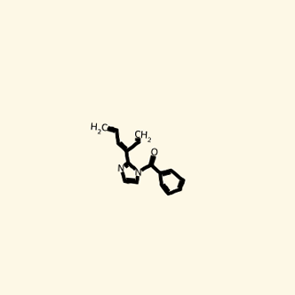 C=C/C=C(\C=C)c1nccn1C(=O)c1ccccc1